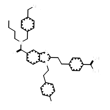 CCCCN(Cc1ccc(CN)cc1)C(=O)c1ccc2c(c1)nc(CCc1ccc(C(=N)N)cc1)n2CCc1ccc(Cl)cc1